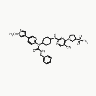 Cn1cc(-c2ccc(N(C(=O)NCc3ccccc3)C3CCC(Nc4ncc(C#N)c(N5CCC(S(C)(=O)=O)C5)n4)CC3)nc2)cn1